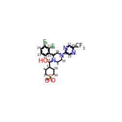 O=S1(=O)CCC(C(O)N2CCN(c3cnc(C(F)(F)F)cn3)CC2c2cccc(F)c2F)CC1